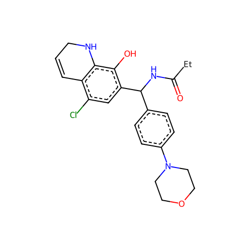 CCC(=O)NC(c1ccc(N2CCOCC2)cc1)c1cc(Cl)c2c(c1O)NCC=C2